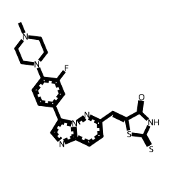 CN1CCN(c2ccc(-c3cnc4ccc(/C=C5\SC(=S)NC5=O)nn34)cc2F)CC1